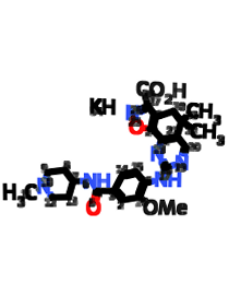 COc1cc(C(=O)NC2CCN(C)CC2)ccc1Nc1ncc2c(n1)-c1onc(C(=O)O)c1CC2(C)C.[KH]